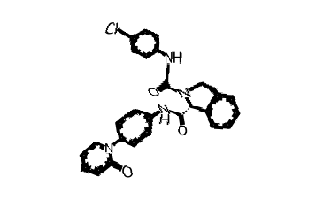 O=C(Nc1ccc(-n2ccccc2=O)cc1)[C@H]1c2ccccc2CN1C(=O)Nc1ccc(Cl)cc1